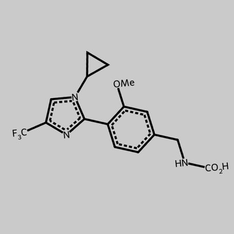 COc1cc(CNC(=O)O)ccc1-c1nc(C(F)(F)F)cn1C1CC1